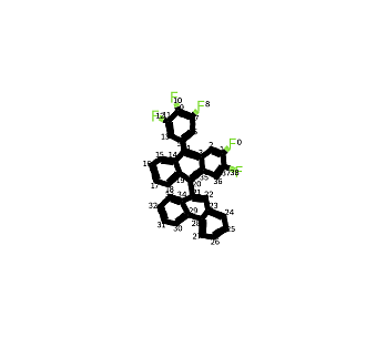 Fc1cc2c(-c3cc(F)c(F)c(F)c3)c3ccccc3c(-c3cc4ccccc4c4ccccc34)c2cc1F